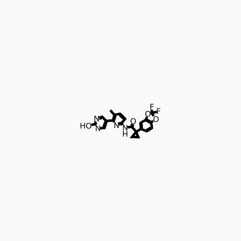 Cc1ccc(NC(=O)C2(c3ccc4c(c3)OC(F)(F)O4)CC2)nc1-c1cnc(O)nc1